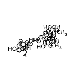 COC1OC(COCC(=O)O)C(OC2OC(COCC(=O)NCCOC(=O)O[C@@]34CCC(=O)[C@@H]5Oc6c(O)ccc7c6[C@@]53CCN(CC3CC3)[C@@H]4C7)C(OC3OC(CO)C(OC)C(O)C3O)C(O)C2O)C(O)C1O